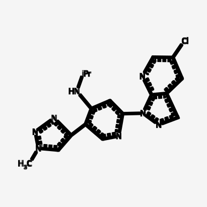 CC(C)Nc1cc(-n2ncc3cc(Cl)cnc32)ncc1-c1cn(C)nn1